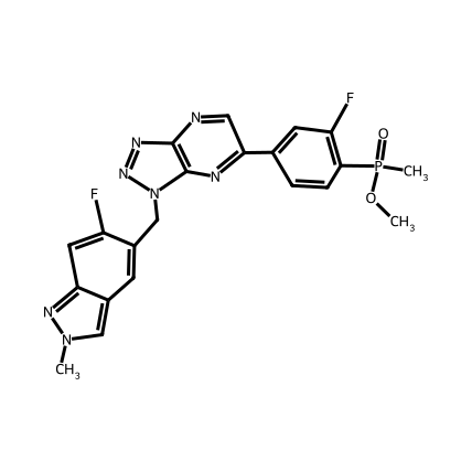 COP(C)(=O)c1ccc(-c2cnc3nnn(Cc4cc5cn(C)nc5cc4F)c3n2)cc1F